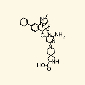 Cc1ccn(-c2cc(C3=CCCCC3)ccc2[C@@H](Oc2cc(N3CCC4(CC3)CNC(C(=O)O)C4)nc(N)n2)C(F)(F)F)n1